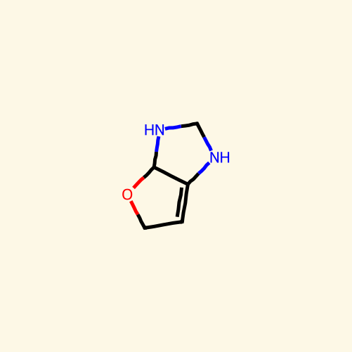 C1=C2NCNC2OC1